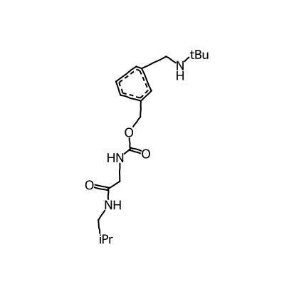 CC(C)CNC(=O)CNC(=O)OCc1cccc(CNC(C)(C)C)c1